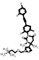 CN1C(=O)N(c2c(F)cc(C#Cc3ccc(F)cc3F)cc2F)C(=O)CC1(C)c1cnn(COCC[Si](C)(C)C)c1